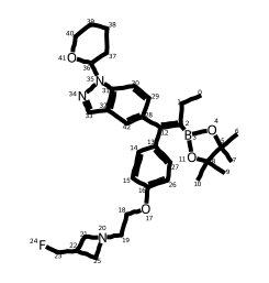 CC/C(B1OC(C)(C)C(C)(C)O1)=C(/c1ccc(OCCN2CC(CF)C2)cc1)c1ccc2c(cnn2C2CCCCO2)c1